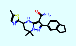 Cc1cnc(C2CC(C)(C)n3nc(-c4ccc5c(c4)CCC5)c(C(N)=O)c3N2)s1